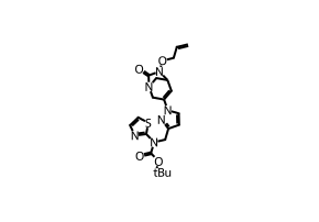 C=CCON1C(=O)N2CC(n3ccc(CN(C(=O)OC(C)(C)C)c4nccs4)n3)=CC1C2